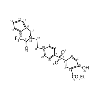 CCOC(=O)c1cc(S(=O)(=O)c2ccc(CCN(Cc3ccccc3)C(=O)C(F)(F)F)cc2)ccc1O